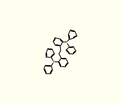 c1ccc(P(c2ccccc2)c2ccccc2CCc2ccccc2P(c2ccccc2)c2ccccc2)cc1